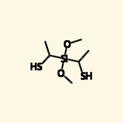 CO[Si](OC)(C(C)S)C(C)S